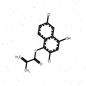 C=C(C)C(=O)Oc1c(Cl)cc(O)c2cc(Cl)ccc12